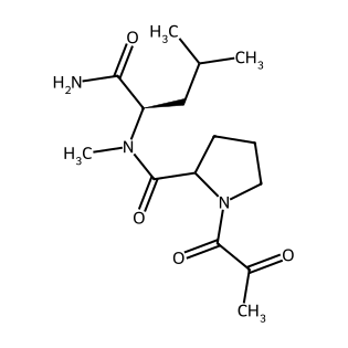 CC(=O)C(=O)N1CCCC1C(=O)N(C)[C@H](CC(C)C)C(N)=O